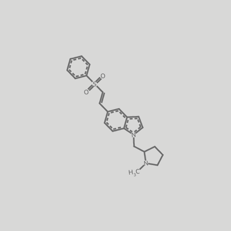 CN1CCCC1Cn1ccc2cc(C=CS(=O)(=O)c3ccccc3)ccc21